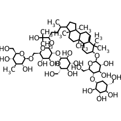 C[C@@H]1[C@@H](O)[C@H](OC[C@H]2O[C@@H](O[C@H](CC[C@@H](C)C3CC[C@@]4(C)C5CC=C6C(CC[C@H](O[C@@H]7O[C@H](CO)[C@@H](O[C@@H]8C[C@H](CO)[C@@H](O)[C@H](O)[C@H]8O)[C@H](O)[C@H]7O)C6(C)C)[C@]5(C)CC[C@]34C)C(C)(C)O)[C@H](O[C@H]3O[C@@H](CO)[C@H](O)[C@@H](O)[C@@H]3O)[C@@H](O)[C@@H]2O)O[C@H](CO)[C@H]1O